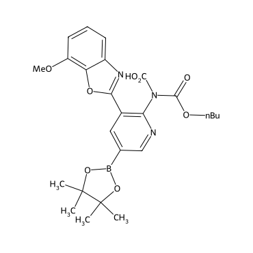 CCCCOC(=O)N(C(=O)O)c1ncc(B2OC(C)(C)C(C)(C)O2)cc1-c1nc2cccc(OC)c2o1